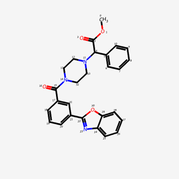 COC(=O)C(c1ccccc1)N1CCN(C(=O)c2cccc(-c3nc4ccccc4o3)c2)CC1